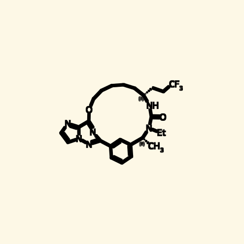 CCN1C(=O)N[C@@H](CCC(F)(F)F)CCCCCOc2nc(nn3ccnc23)-c2cccc(c2)[C@H]1C